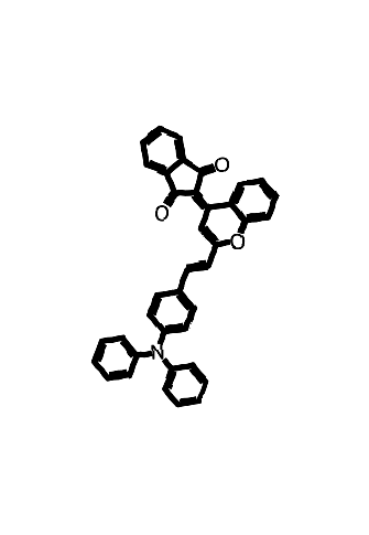 O=C1C(=C2C=C(C=Cc3ccc(N(c4ccccc4)c4ccccc4)cc3)Oc3ccccc32)C(=O)c2ccccc21